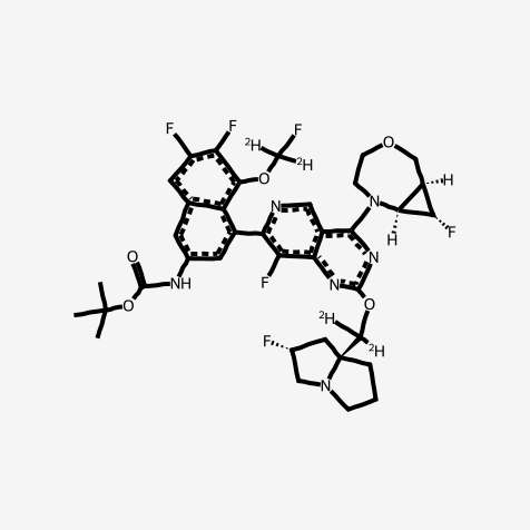 [2H]C([2H])(F)Oc1c(F)c(F)cc2cc(NC(=O)OC(C)(C)C)cc(-c3ncc4c(N5CCOC[C@H]6[C@H](F)[C@H]65)nc(OC([2H])([2H])[C@@]56CCCN5C[C@H](F)C6)nc4c3F)c12